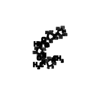 CN1CCCC(N(C)c2nc3cc(NC(=O)Oc4ccc(-c5ccccc5)cc4)ccc3o2)C1